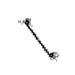 Cc1cc(CCCCCCCCCCCCCSCCCCCCCCCCCCCc2cc(C)c(O)c(C)c2)cc(C)c1O